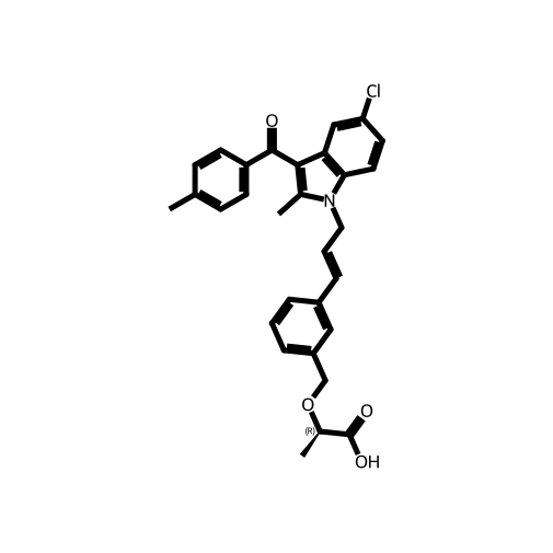 Cc1ccc(C(=O)c2c(C)n(CC=Cc3cccc(CO[C@H](C)C(=O)O)c3)c3ccc(Cl)cc23)cc1